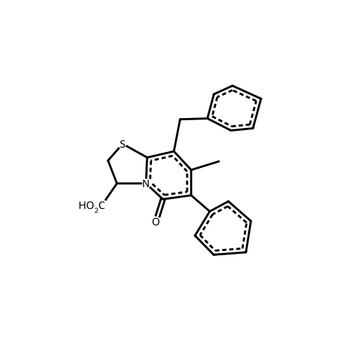 Cc1c(Cc2ccccc2)c2n(c(=O)c1-c1ccccc1)C(C(=O)O)CS2